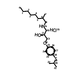 CCCCCCC(C)CNCC(O)COc1ccc(SC(C)C)cc1.Cl